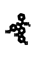 N[C@@H](C(=O)N1CCc2c([nH]c3ccc(Cl)cc23)C1c1cccc(O)c1)c1ccccc1